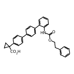 O=C(Nc1ccccc1-c1ccc(-c2ccc(C3(C(=O)O)CC3)cc2)cc1)OCCc1ccccc1